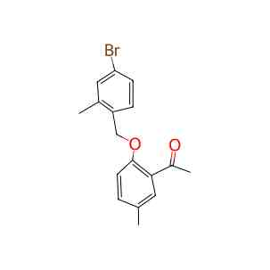 CC(=O)c1cc(C)ccc1OCc1ccc(Br)cc1C